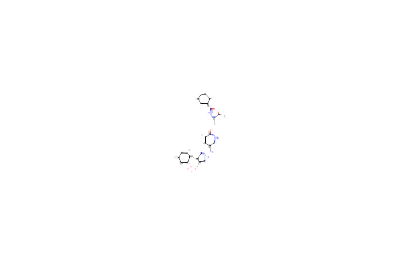 Cc1oc(-c2ccccc2)nc1COc1ccc(Cn2cc(CO)c(-c3ccccc3)c2)cn1